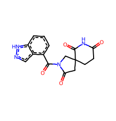 O=C1CCC2(CC(=O)N(C(=O)c3cccc4[nH]ncc34)C2)C(=O)N1